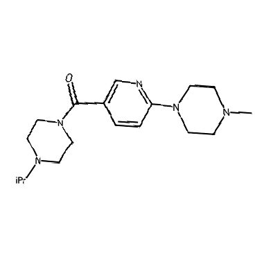 CC(C)N1CCN(C(=O)c2ccc(N3CCN(C)CC3)nc2)CC1